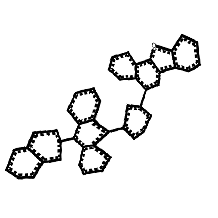 c1cc(-c2c3ccccc3c(-c3ccc4ccccc4c3)c3ccccc23)cc(-c2cc3c4ccccc4oc3c3ccccc23)c1